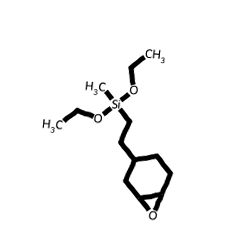 CCO[Si](C)(CCC1CCC2OC2C1)OCC